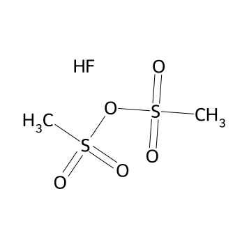 CS(=O)(=O)OS(C)(=O)=O.F